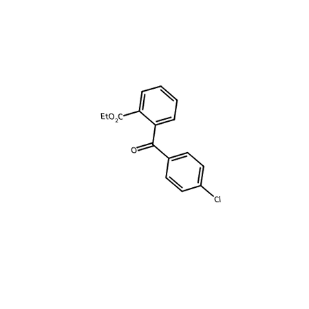 CCOC(=O)c1ccccc1C(=O)c1ccc(Cl)cc1